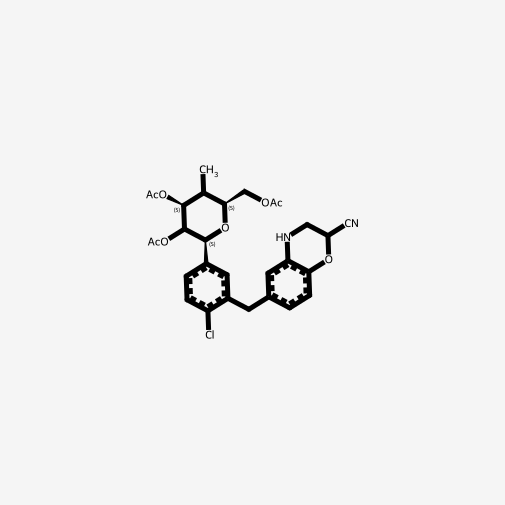 CC(=O)OC[C@H]1O[C@@H](c2ccc(Cl)c(Cc3ccc4c(c3)NCC(C#N)O4)c2)C(OC(C)=O)[C@@H](OC(C)=O)C1C